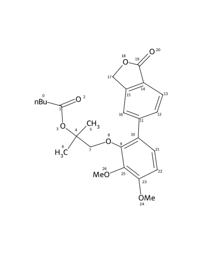 CCCCC(=O)OC(C)(C)COc1c(-c2ccc3c(c2)COC3=O)ccc(OC)c1OC